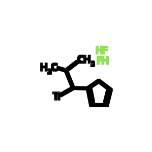 CC(C)[CH]([Ti])C1=CC=CC1.F.F